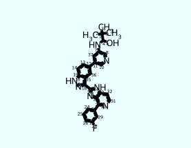 CC(C)(C)C(O)Nc1cncc(-c2ccc3[nH]nc(-c4nc5c(-c6cccc(F)c6)nccc5[nH]4)c3c2)c1